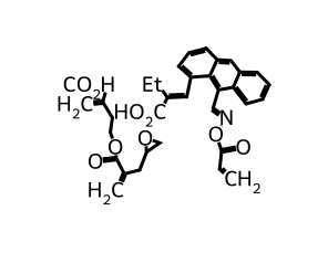 C=C(CCOC(=O)C(=C)CC1CO1)C(=O)O.C=CC(=O)ON=Cc1c2ccccc2cc2cccc(C=C(CC)C(=O)O)c12